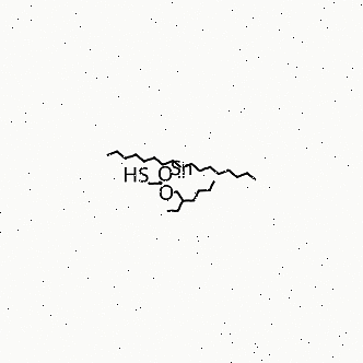 CCCCC(CC)COC(=O)CS.CCCCCCC[CH2][Sn][CH2]CCCCCCC